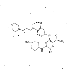 CCc1nc(C(N)=O)c(Nc2ccc3c(c2)OCCN3CCCN2CCOCC2)nc1N[C@H]1CC[C@H](O)CC1